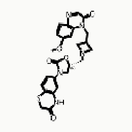 COc1ccc2ncc(=O)n(CC3CN(C[C@@H]4CN(c5ccc6c(c5)NC(=O)CS6)C(=O)O4)C3)c2c1